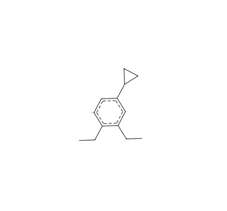 CCc1[c]cc(C2CC2)cc1CC